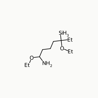 CCOC(N)CCCC([SiH3])(CC)OCC